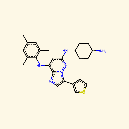 Cc1cc(C)c(Nc2cc(N[C@H]3CC[C@H](N)CC3)nn3c(-c4ccsc4)cnc23)c(C)c1